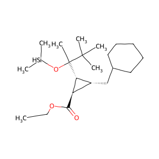 CCOC(=O)[C@@H]1[C@@H](CC2CCCCC2)[C@H]1C(C)(O[SiH](C)C)C(C)(C)C